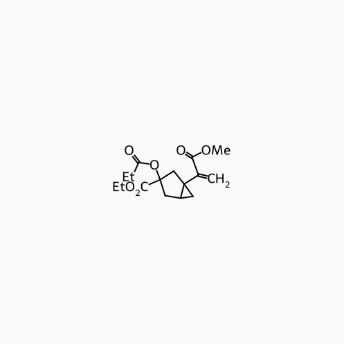 C=C(C(=O)OC)C12CC1CC(OC(=O)CC)(C(=O)OCC)C2